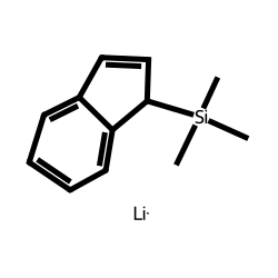 C[Si](C)(C)C1C=Cc2ccccc21.[Li]